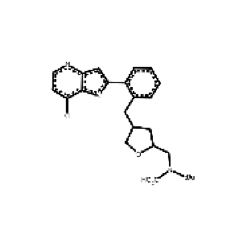 CC(C)(C)N(CC1CC(Cc2ccccc2-c2cc3nccc(Cl)c3s2)CO1)C(=O)O